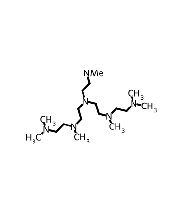 CNCCN(CCN(C)CCN(C)C)CCN(C)CCN(C)C